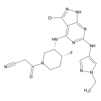 CCn1cc(Nc2nc(N[C@H]3CN(C(=O)CC#N)CC[C@H]3F)c3c(Cl)n[nH]c3n2)cn1